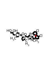 CC(C)C1=C(C(=O)N2[C@H](C)CC[C@H]2C(=O)N2CCN(C[C@H](O)CO)[C@@H](C)C2)SC2=N[C@@](C)(c3ccc(Cl)cc3)[C@@H](c3ccc(Cl)cc3)N21